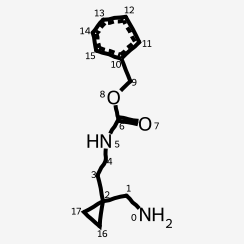 NCC1(CCNC(=O)OCc2ccccc2)CC1